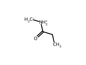 [CH2-][NH2+]C(=O)CC